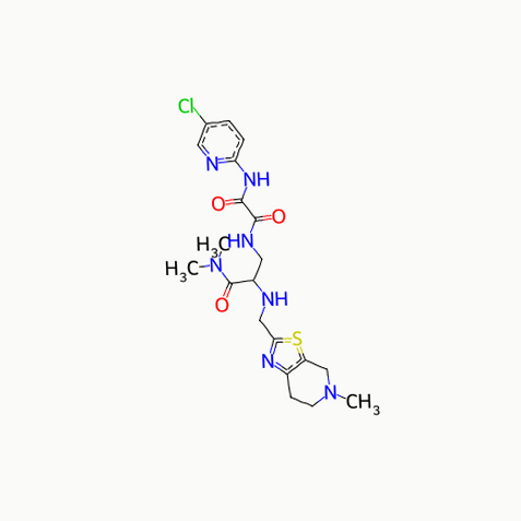 CN1CCc2nc(CNC(CNC(=O)C(=O)Nc3ccc(Cl)cn3)C(=O)N(C)C)sc2C1